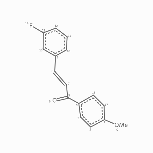 COc1ccc(C(=O)/C=C/c2cccc(F)c2)cc1